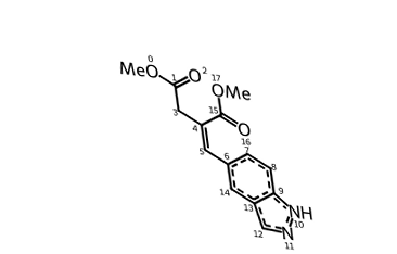 COC(=O)C/C(=C/c1ccc2[nH]ncc2c1)C(=O)OC